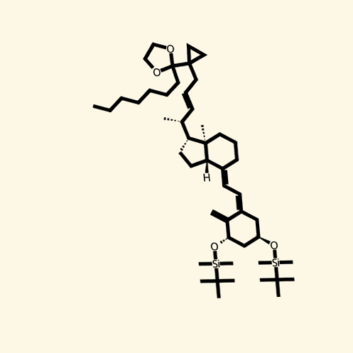 C=C1/C(=C\C=C2/CCC[C@]3(C)[C@@H]([C@H](C)/C=C/CC4(C5(CCCCCCC)OCCO5)CC4)CC[C@@H]23)C[C@@H](O[Si](C)(C)C(C)(C)C)C[C@@H]1O[Si](C)(C)C(C)(C)C